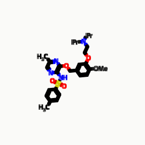 COc1ccc(COc2nc(C)cnc2NS(=O)(=O)c2ccc(C)cc2)cc1OCCN(C(C)C)C(C)C